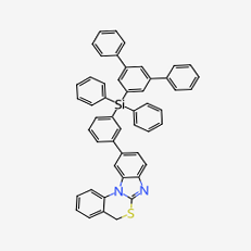 c1ccc(-c2cc(-c3ccccc3)cc([Si](c3ccccc3)(c3ccccc3)c3cccc(-c4ccc5nc6n(c5c4)-c4ccccc4CS6)c3)c2)cc1